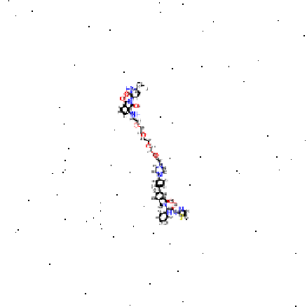 C=C1CC[C@@H](N2C(=O)c3cccc(NCCOCCOCCOCCOCCN4CCN(c5ccc(-c6ccc7c(c6)C(=O)N(C(C(=O)Nc6nccs6)c6ccccc6)C7)cc5)CC4)c3C2=O)C(=O)N1